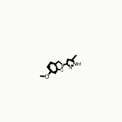 COc1ccc2c(c1)ON(c1cc(C)[nH]n1)C2